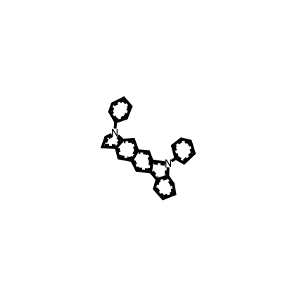 c1ccc(-n2ccc3cc4cc5c6ccccc6n(-c6ccccc6)c5cc4cc32)cc1